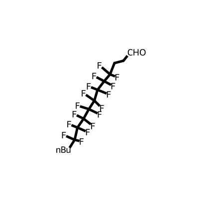 CCCCC(F)(F)C(F)(F)C(F)(F)C(F)(F)C(F)(F)C(F)(F)C(F)(F)C(F)(F)CCC=O